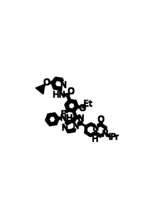 CCOc1cc(C(=O)Nc2cc(OC3CC3)ccn2)cc(F)c1-c1nc([C@@H]2CC[C@H]3CN(C(C)C)CC(=O)N3C2)n2ccnc(Nc3ccccc3)c12